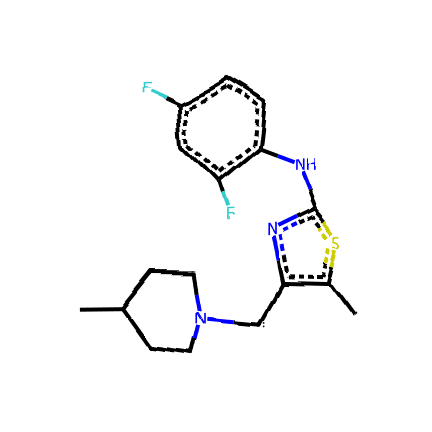 Cc1sc(Nc2ccc(F)cc2F)nc1[C]N1CCC(C)CC1